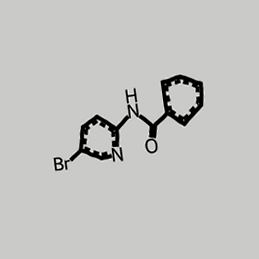 O=C(Nc1ccc(Br)cn1)c1ccccc1